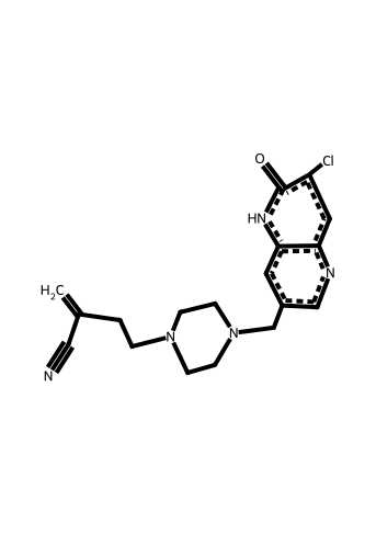 C=C(C#N)CCN1CCN(Cc2cnc3cc(Cl)c(=O)[nH]c3c2)CC1